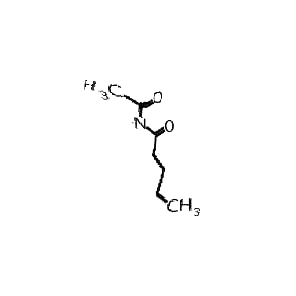 CCCCC(=O)[N]C(C)=O